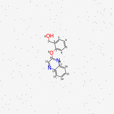 OCc1ccccc1Oc1cnc2ccccc2n1